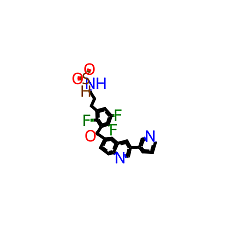 O=C(c1ccc2ncc(-c3cccnc3)cc2c1)c1c(F)c(F)cc(CCCN[SH](=O)=O)c1F